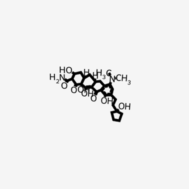 CN(C)c1cc(CCC2(O)CCCC2)c(O)c2c1C[C@H]1C[C@H]3CC(O)C(C(N)=O)C(=O)[C@@]3(O)C(O)=C1C2=O